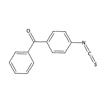 O=C(c1ccccc1)c1ccc(N=C=S)cc1